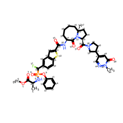 CCCOC(=O)[C@H](C)NP(=O)(Oc1ccccc1)C(F)c1ccc2sc(C(=O)N[C@H]3CCCC[C@H]4CC[C@@H](C(=O)N5CCC(c6cnn(C)c(=O)c6)C5)N4C3=O)cc2c1